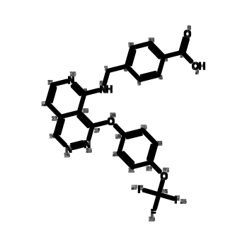 O=C(O)c1ccc(CNc2nccc3cnnc(Oc4ccc(OC(F)(F)F)cc4)c23)cc1